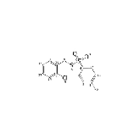 Cc1ccc(S(=O)(=O)SCc2ccccc2Cl)cc1